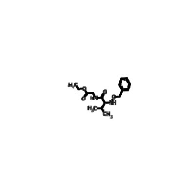 CCOC(=O)CNC(=O)C(NOCc1ccccc1)C(C)C